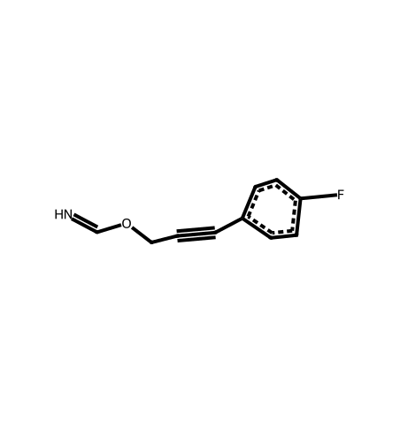 N=COCC#Cc1ccc(F)cc1